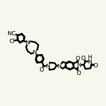 N#Cc1ccc(N2CCCCN(c3ccc(C(=O)N4CCC(N5Cc6cc7c(cc6C5)C(=O)N(C5CCC(=O)NC5=O)C7=O)CC4)cc3)CCC2)cc1Cl